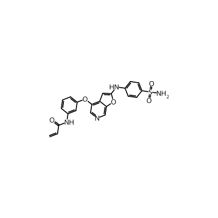 C=CC(=O)Nc1cccc(Oc2cncc3oc(Nc4ccc(S(N)(=O)=O)cc4)cc23)c1